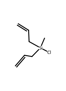 C=CC[Si](C)(Cl)CC=C